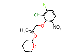 C[C@H](COc1c([N+](=O)[O-])ccc(F)c1Cl)OC1CCCCO1